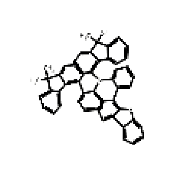 CC1(C)c2ccccc2-c2c(-c3ccccc3N(c3ccccc3-c3cccc4c3sc3ccccc34)c3cccc4c3-c3ccccc3C4(C)C)cccc21